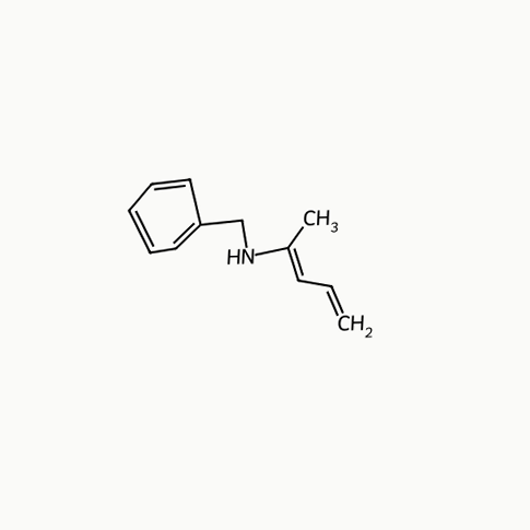 C=C/C=C(\C)NCc1ccccc1